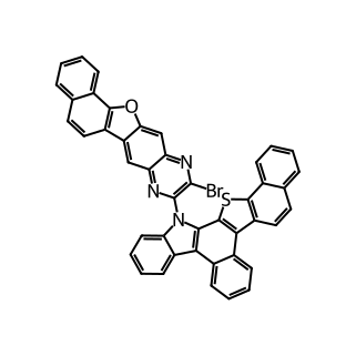 Brc1nc2cc3oc4c5ccccc5ccc4c3cc2nc1-n1c2ccccc2c2c3ccccc3c3c4ccc5ccccc5c4sc3c21